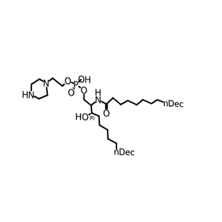 CCCCCCCCCCCCCCCCCC(=O)NC(COP(=O)(O)OCCN1CCNCC1)[C@H](O)CCCCCCCCCCCCCCC